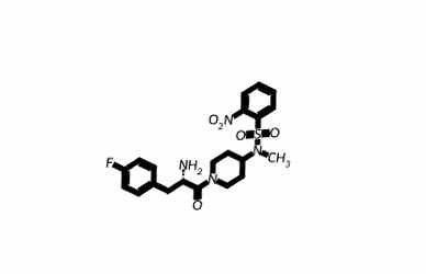 CN(C1CCN(C(=O)[C@@H](N)Cc2ccc(F)cc2)CC1)S(=O)(=O)c1ccccc1[N+](=O)[O-]